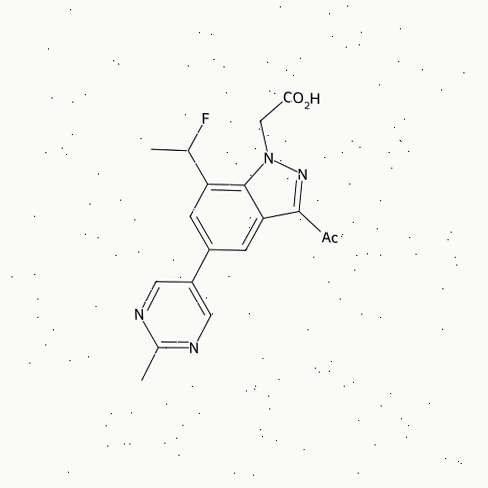 CC(=O)c1nn(CC(=O)O)c2c(C(C)F)cc(-c3cnc(C)nc3)cc12